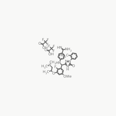 COc1cc(OC(C)CN(C)C)c(F)c(C(Nc2ccc(C(=N)N)cc2)c2nn(-c3ccccc3C(=O)O)c(=O)[nH]2)c1.O=C(O)C(F)(F)F.O=C(O)C(F)(F)F